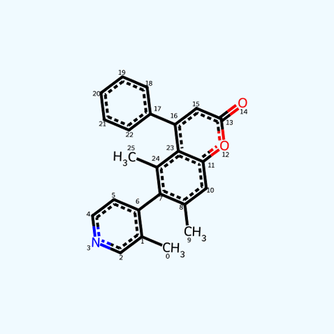 Cc1cnccc1-c1c(C)cc2oc(=O)cc(-c3ccccc3)c2c1C